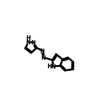 c1ccc2[nH]c(N=Nc3cc[nH]n3)cc2c1